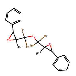 CC(C)C1(C(Br)(Br)OC(Br)(Br)C2(C(C)C)OC2c2ccccc2)OC1c1ccccc1